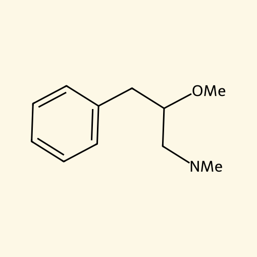 CNCC(Cc1ccccc1)OC